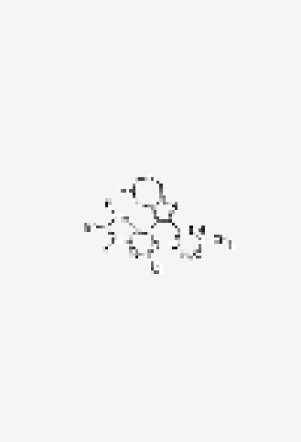 CC(C)NC(=O)c1nn2c(c1-c1nc(Cl)nc3c(F)c(Br)c(F)cc13)CNCCC2